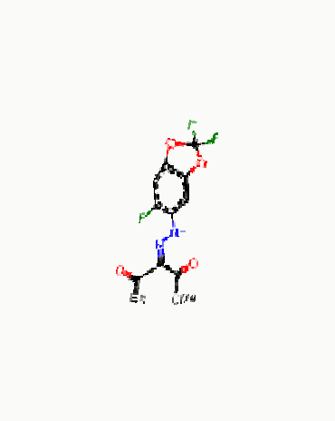 CCC(=O)C(=NNc1cc2c(cc1F)OC(F)(F)O2)C(=O)OC